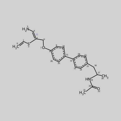 C=CS/C(=C\N)COc1ccc(-c2ccc(CC(C)NC(C)=O)cc2)cc1